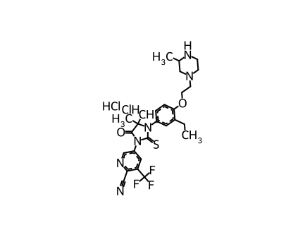 CCc1cc(N2C(=S)N(c3cnc(C#N)c(C(F)(F)F)c3)C(=O)C2(C)C)ccc1OCCN1CCNC(C)C1.Cl.Cl